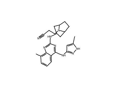 Cc1cc(Nc2nc(NC3CC4CCC(C3)N4CCC#N)nc3c(C)cccc23)n[nH]1